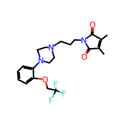 CC1=C(C)C(=O)N(CCCN2CCN(c3ccccc3OCC(F)(F)F)CC2)C1=O